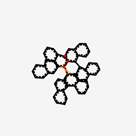 c1ccc2cc(P(c3ccc4ccccc4c3)c3ccc4ccccc4c3-c3c(P(c4ccc5ccccc5c4)c4ccc5ccccc5c4)ccc4ccccc34)ccc2c1